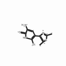 CCc1[nH]c(=O)c(N)cc1-c1nc(C)sc1C